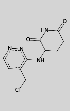 O=C1CCC(Nc2nnccc2CCl)C(=O)N1